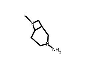 NN1CCC2C(C1)CN2I